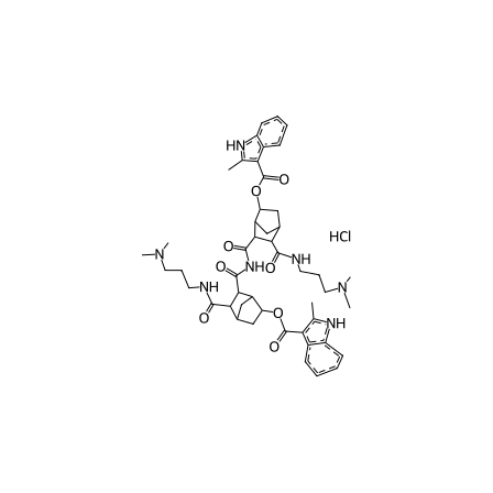 Cc1[nH]c2ccccc2c1C(=O)OC1CC2CC1C(C(=O)NC(=O)C1C3CC(CC3OC(=O)c3c(C)[nH]c4ccccc34)C1C(=O)NCCCN(C)C)C2C(=O)NCCCN(C)C.Cl